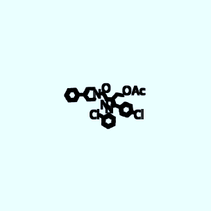 CC(=O)OCCc1c(C(=O)N2CC=C(c3ccccc3)CC2)nn(-c2ccccc2Cl)c1-c1ccc(Cl)cc1